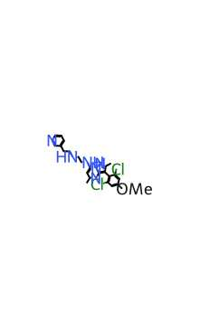 COc1cc(Cl)c(-c2c(C)nn3c(NCCNCCc4cccnc4)cc(C)nc23)c(Cl)c1